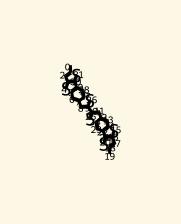 Cc1cc2sc3cc4cc(-c5cc6cc7sc8cc(C)sc8c7cc6s5)sc4cc3c2s1